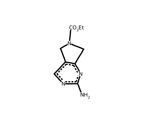 CCOC(=O)N1Cc2cnc(N)nc2C1